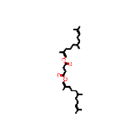 CC(C)=CCCC(C)CCCC(C)=COC(=O)CCC(=O)OC=C(C)CCCC(C)CCC=C(C)C